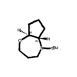 CC(C)(C)N1CCCO[C@H]2CCC[C@@H]21